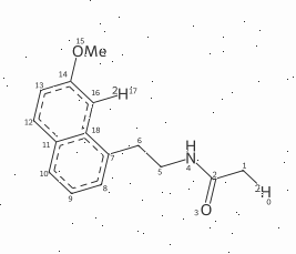 [2H]CC(=O)NCCc1cccc2ccc(OC)c([2H])c12